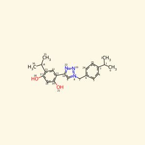 CC(C)c1ccc(Cn2cc(-c3cc(C(C)C)c(O)cc3O)nn2)cc1